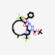 CC1C/C=C\CCCC[C@](OCc2ccccc2)(C(F)(F)F)c2nnc(o2)-c2nc(c(C(F)(F)F)cc2NC(=O)OC(C)(C)C)C1